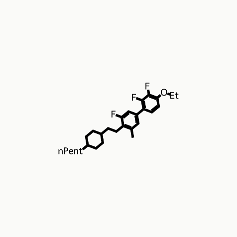 CCCCCC1CCC(CCc2c(C)cc(-c3ccc(OCC)c(F)c3F)cc2F)CC1